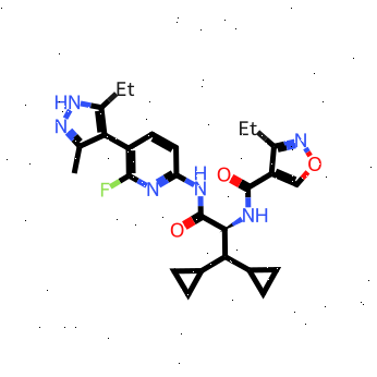 CCc1nocc1C(=O)N[C@H](C(=O)Nc1ccc(-c2c(C)n[nH]c2CC)c(F)n1)C(C1CC1)C1CC1